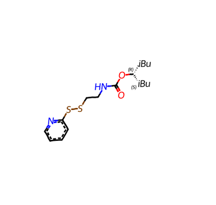 CCC(C)[C@@H](OC(=O)NCCSSc1ccccn1)[C@@H](C)CC